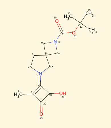 CC1=C(N2CCC3(CN(C(=O)OC(C)(C)C)C3)C2)C(O)C1=O